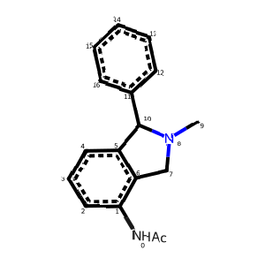 CC(=O)Nc1cccc2c1CN(C)C2c1ccccc1